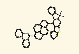 CC1(C)c2ccccc2-c2c1cc1sc3ccccc3c1c2-c1ccc2ccc3c(-c4cc5ccccc5c5ccccc45)ccc4ccc1c2c43